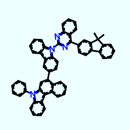 CC1(C)c2ccccc2-c2ccc(-c3nc(-n4c5ccccc5c5cc(-c6cc7c(c8ccccc68)c6ccccc6n7-c6ccccc6)ccc54)nc4ccccc34)cc21